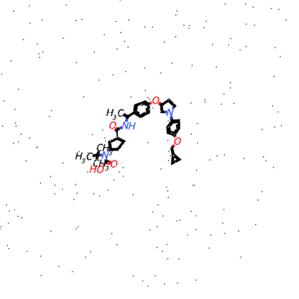 CC(NC(=O)[C@H]1CCC(N(C(=O)O)C(C)(C)C)C1)c1ccc(OC2CCN(c3ccc(OCC4CC4)cc3)C2)cc1